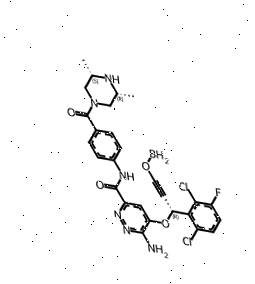 BOC#C[C@@H](Oc1cc(C(=O)Nc2ccc(C(=O)N3C[C@@H](C)N[C@@H](C)C3)cc2)nnc1N)c1c(Cl)ccc(F)c1Cl